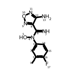 Cc1cc(N(O)C(=N)c2nonc2N)ccc1F